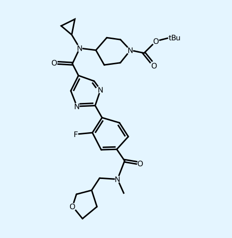 CN(CC1CCOC1)C(=O)c1ccc(-c2ncc(C(=O)N(C3CC3)C3CCN(C(=O)OC(C)(C)C)CC3)cn2)c(F)c1